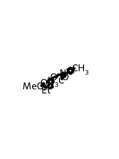 CC[C@H](C(=O)OC)[C@@H]1CCc2cc(OCCc3nc(-c4ccc(C)cc4)oc3C)ccc21